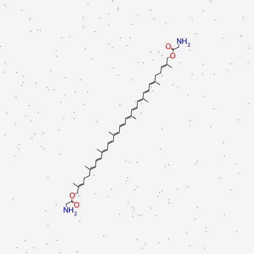 CC(/C=C/C=C(C)/C=C/C=C(\C)CC/C=C(\C)COC(=O)CN)=C\C=C\C=C(C)\C=C\C=C(C)\C=C\C=C(/C)CC/C=C(\C)COC(=O)CN